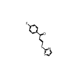 O=C(/C=C/Sc1nccs1)c1ccc(F)cc1